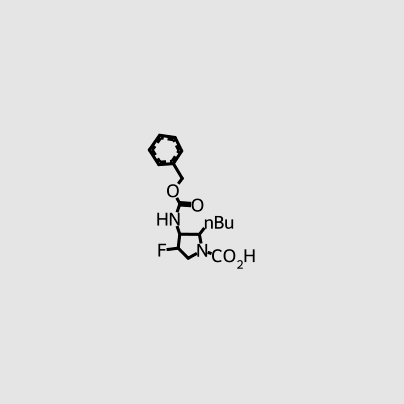 CCCCC1C(NC(=O)OCc2ccccc2)C(F)CN1C(=O)O